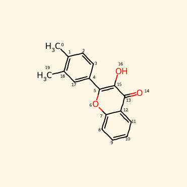 Cc1ccc(-c2oc3ccccc3c(=O)c2O)cc1C